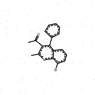 CC(=O)c1c(C)nc2c(Br)cccc2c1-c1ccccc1